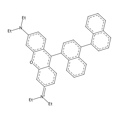 CCN(CC)c1ccc2c(-c3ccc(-c4cccc5ccccc45)c4ccccc34)c3ccc(=[N+](CC)CC)cc-3oc2c1